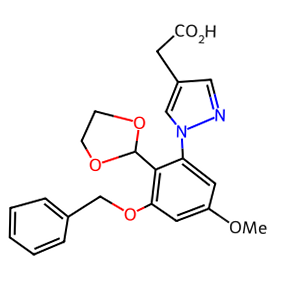 COc1cc(OCc2ccccc2)c(C2OCCO2)c(-n2cc(CC(=O)O)cn2)c1